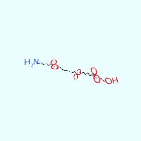 NCCCCCC(=O)OCCCCCC(=O)OCCCCCC(=O)OCCO